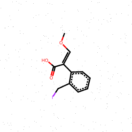 CO/C=C(\C(=O)O)c1ccccc1CI